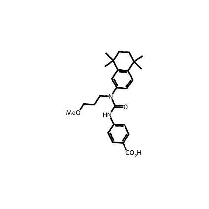 COCCCN(C(=O)Nc1ccc(C(=O)O)cc1)c1ccc2c(c1)C(C)(C)CCC2(C)C